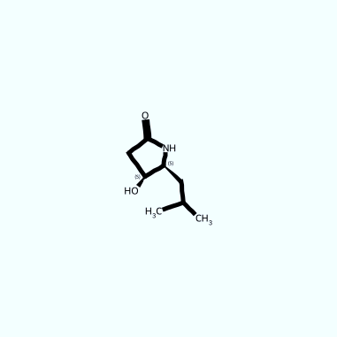 CC(C)C[C@@H]1NC(=O)C[C@@H]1O